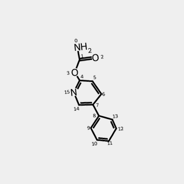 NC(=O)Oc1ccc(-c2ccccc2)cn1